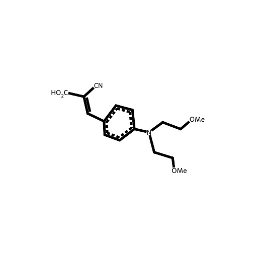 COCCN(CCOC)c1ccc(/C=C(\C#N)C(=O)O)cc1